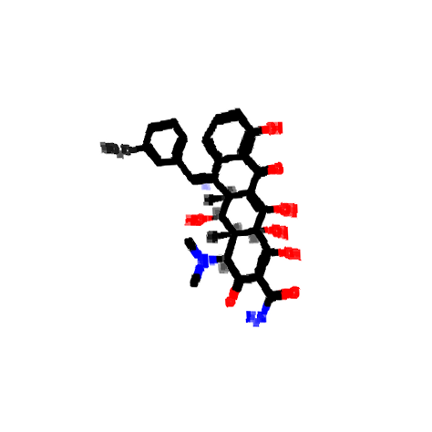 CN(C)[C@H]1C(=O)C(C(N)=O)=C(O)[C@]2(O)C(O)=C3C(=O)c4c(O)cccc4/C(=C\c4cccc(C(=O)O)c4)[C@@H]3[C@@H](O)[C@H]12